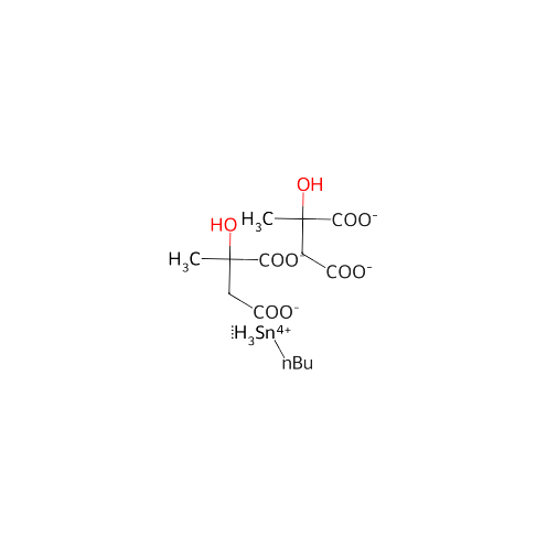 CC(O)(CC(=O)[O-])C(=O)[O-].CC(O)(CC(=O)[O-])C(=O)[O-].CCC[CH2][SnH3+4]